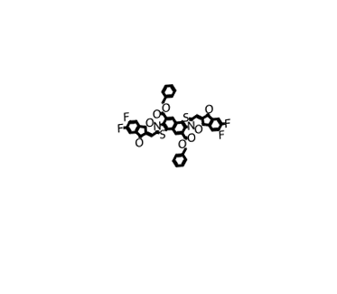 O=C1C(=Cc2nc3c(C(=O)OCc4ccccc4)cc4c(cc(C(=O)OCc5ccccc5)c5nc(C=C6C(=O)c7cc(F)c(F)cc7C6=O)sc54)c3s2)C(=O)c2cc(F)c(F)cc21